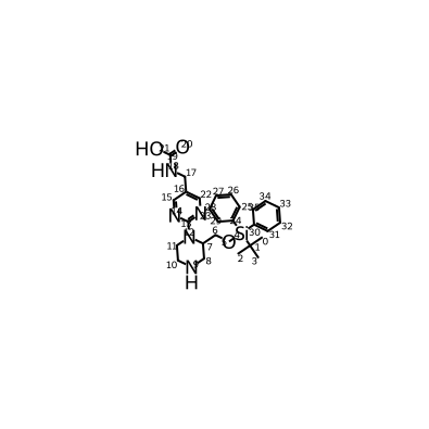 CC(C)(C)[Si](OCC1CNCCN1c1ncc(CNC(=O)O)cn1)(c1ccccc1)c1ccccc1